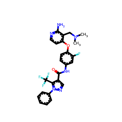 CN(C)Cc1c(Oc2ccc(NC(=O)c3cnn(-c4ccccc4)c3C(F)(F)F)cc2F)ccnc1N